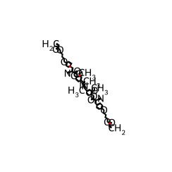 C=CC(=O)OCCCCOc1ccc(/C=C(\C#N)C(=O)Oc2ccc(/C(C)=N/N=C(\C)c3ccc(OC(=O)/C(C#N)=C/c4ccc(OCCCCOC(=O)C=C)cc4)c(OC)c3)cc2OC)cc1